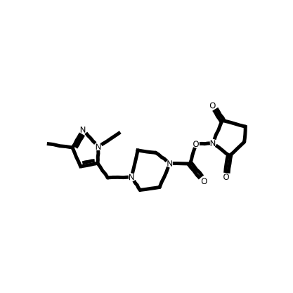 Cc1cc(CN2CCN(C(=O)ON3C(=O)CCC3=O)CC2)n(C)n1